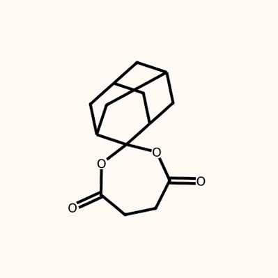 O=C1CCC(=O)OC2(O1)C1CC3CC(C1)CC2C3